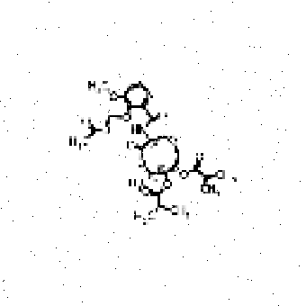 COc1ccnc(C(=O)N[C@H]2COC[C@H](OC(=O)C(C)C)[C@@H](OC(=O)C(C)C)[C@H](C)OC2=O)c1OCOC(C)=O